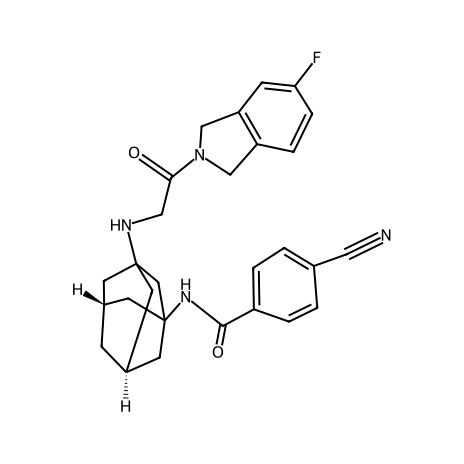 N#Cc1ccc(C(=O)NC23C[C@@H]4C[C@@H](CC(NCC(=O)N5Cc6ccc(F)cc6C5)(C4)C2)C3)cc1